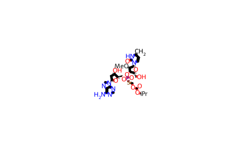 C=C1C=CN([C@@H]2O[C@H](CO)C(OP(=O)(OC[C@H]3O[C@@H](n4cnc5c(N)ncnc54)C[C@H]3O)SCOC(=O)OC(C)C)[C@@H]2OC)C(=O)N1